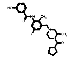 Cc1c(CN2CCN(C(=O)C3CCCC3)C(C)C2)cc(F)cc1NC(=O)c1cccc(C#N)c1